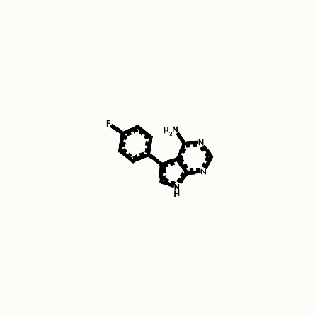 Nc1ncnc2[nH]cc(-c3ccc(F)cc3)c12